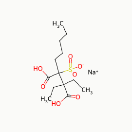 CCCCCC(C(=O)O)(C(CC)(CC)C(=O)O)S(=O)(=O)[O-].[Na+]